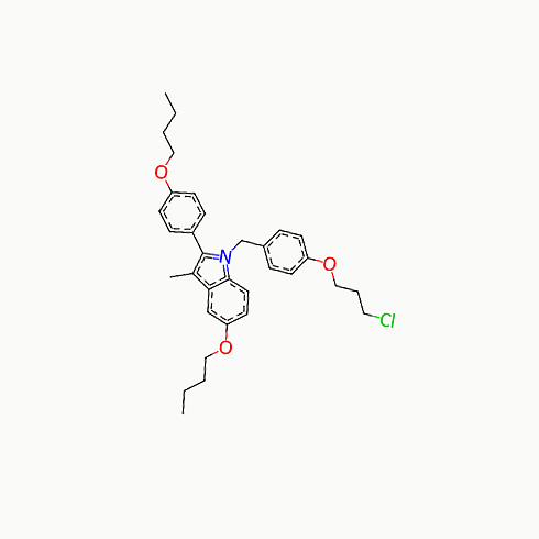 CCCCOc1ccc(-c2c(C)c3cc(OCCCC)ccc3n2Cc2ccc(OCCCCl)cc2)cc1